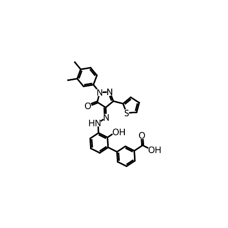 Cc1ccc(N2N=C(c3cccs3)C(=NNc3cccc(-c4cccc(C(=O)O)c4)c3O)C2=O)cc1C